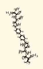 CC(C)=C(N)C(=O)N[C@H](c1ncc(-c2ccc(-c3ccc(-c4cnc([C@@H](NC(=O)[C@H](N)C(C)C)C(C)C)[nH]4)cc3)cc2)[nH]1)C(C)C